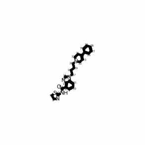 O=C(NC1=NCCS1)c1cccc2c1ncn2CCCCN1CC=C(c2ccccc2)CC1